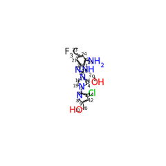 CO.C[C@@H]1CN(c2ncc(CO)cc2Cl)CCN1c1nc2cc(C(F)(F)F)cc(N)c2[nH]1